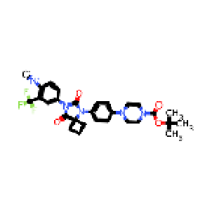 [C-]#[N+]c1ccc(N2C(=O)N(c3ccc(N4CCN(C(=O)OC(C)(C)C)CC4)cc3)C3(CCC3)C2=O)cc1C(F)(F)F